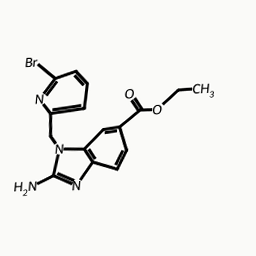 CCOC(=O)c1ccc2nc(N)n(Cc3cccc(Br)n3)c2c1